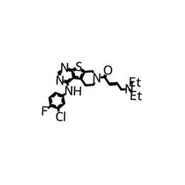 CCN(CC)C/C=C/C(=O)N1CCc2c(sc3ncnc(Nc4ccc(F)c(Cl)c4)c23)C1